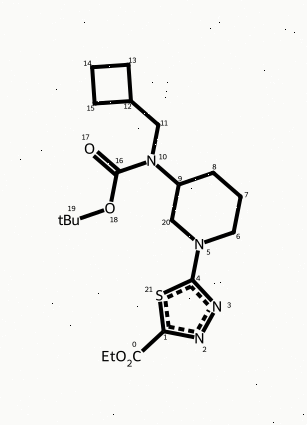 CCOC(=O)c1nnc(N2CCCC(N(CC3CCC3)C(=O)OC(C)(C)C)C2)s1